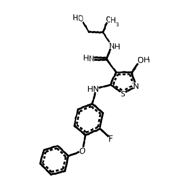 CC(CO)NC(=N)c1c(O)nsc1Nc1ccc(Oc2ccccc2)c(F)c1